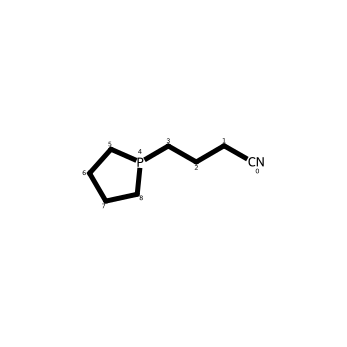 N#CCCCP1CCCC1